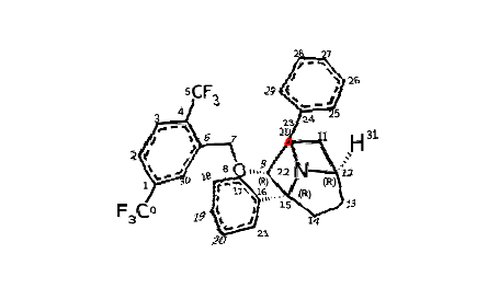 FC(F)(F)c1ccc(C(F)(F)F)c(CO[C@@H]2CC[C@H]3CC[C@]2(c2ccccc2)N3Cc2ccccc2)c1